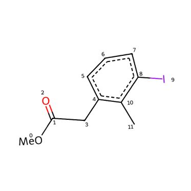 COC(=O)Cc1cccc(I)c1C